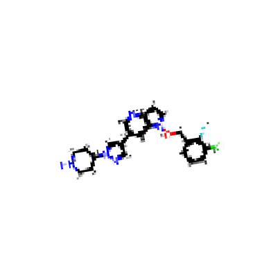 Fc1c(Cl)cccc1COn1ccc2ncc(-c3cnn(C4CCNCC4)c3)cc21